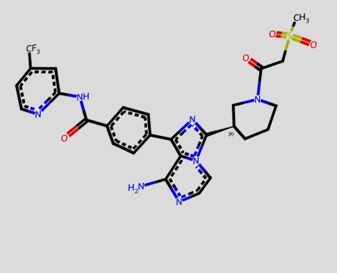 CS(=O)(=O)CC(=O)N1CCC[C@@H](c2nc(-c3ccc(C(=O)Nc4cc(C(F)(F)F)ccn4)cc3)c3c(N)nccn23)C1